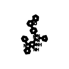 N=C1C(=N)c2c(c(-c3ccccc3)nc3ccccc23)C=C1c1nc(-c2ccccc2)nc(-c2ccc(-c3cccc4c3oc3ccccc34)cc2)n1